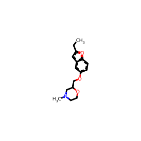 CCc1cc2cc(OCC3CN(C)CCO3)ccc2o1